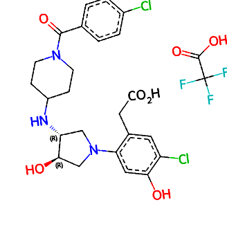 O=C(O)C(F)(F)F.O=C(O)Cc1cc(Cl)c(O)cc1N1C[C@@H](O)[C@H](NC2CCN(C(=O)c3ccc(Cl)cc3)CC2)C1